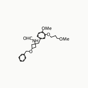 COCCCOc1cc(CC2(NC=O)CC(OCc3ccccc3)C2)ccc1OC